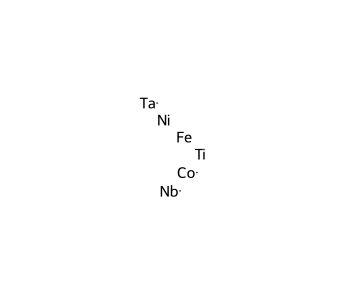 [Co].[Fe].[Nb].[Ni].[Ta].[Ti]